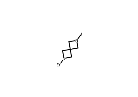 CCN1CC2(CN(I)C2)C1